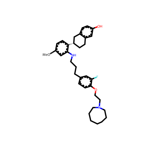 COc1ccc([C@H]2CCc3cc(O)ccc3C2)c(NCCCc2ccc(OCCN3CCCCCCC3)c(F)c2)c1